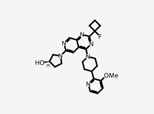 COc1cccnc1C1CCN(c2nc(C3(F)CCC3)nc3cnc(N4CC[C@@H](O)C4)cc23)CC1